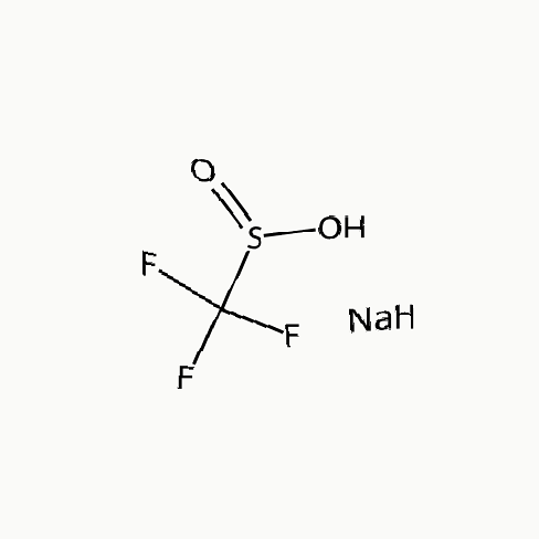 O=S(O)C(F)(F)F.[NaH]